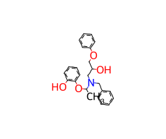 CC(Oc1ccccc1O)N(Cc1ccccc1)CC(O)COc1ccccc1